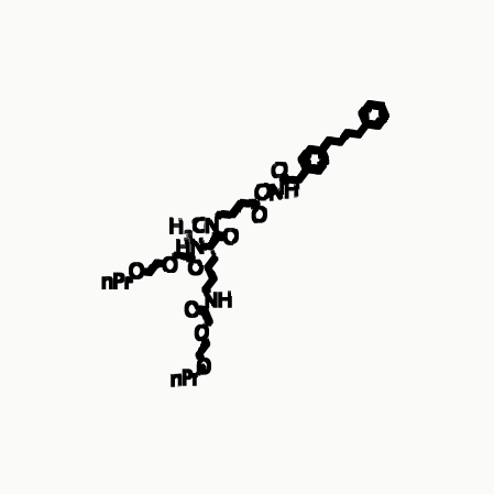 CCCOCCOCC(=O)NCCCC[C@H](NC(=O)COCCOCCC)C(=O)N(C)CCCC(=O)ONC(=O)Cc1ccc(CCCCc2ccccc2)cc1